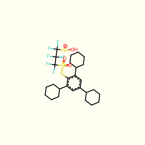 O=S(=O)(O)C(F)(F)C(F)(F)C(F)(F)S(=O)(=O)Sc1c(C2CCCCC2)cc(C2CCCCC2)cc1C1CCCCC1